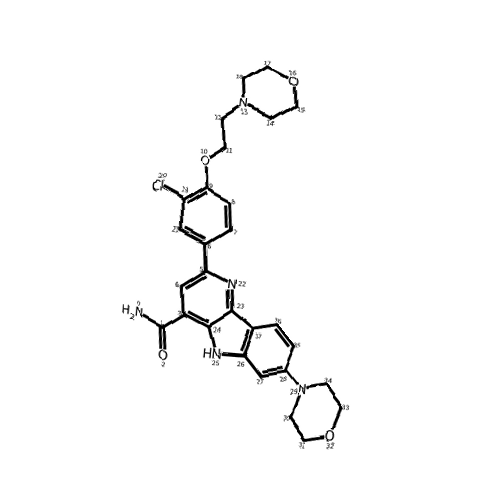 NC(=O)c1cc(-c2ccc(OCCN3CCOCC3)c(Cl)c2)nc2c1[nH]c1cc(N3CCOCC3)ccc12